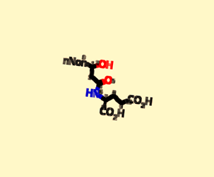 CCCCCCCCCC(O)CC(=O)N[C@@H](CCC(=O)O)C(=O)O